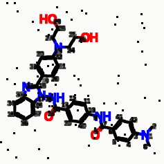 CN(C)c1ccc(C(=O)Nc2ccc(C(=O)Nn3c(-c4ccc(N(CCO)CCO)cc4)nc4ccccc43)cc2)cc1